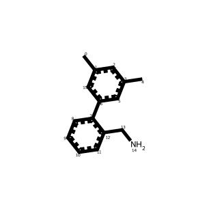 Cc1[c]c(C)cc(-c2ccccc2CN)c1